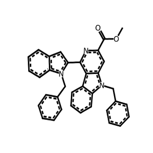 COC(=O)c1cc2c(c(-c3cc4ccccc4n3Cc3ccccc3)n1)c1ccccc1n2Cc1ccccc1